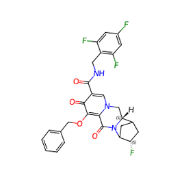 O=C(NCc1c(F)cc(F)cc1F)c1cn2c(c(OCc3ccccc3)c1=O)C(=O)N1C3CC(C[C@@H]3F)[C@H]1C2